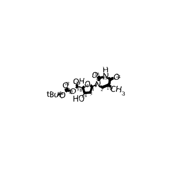 Cc1cn([C@H]2C[C@H](O)[C@@H](C(O)OC(=O)OC(C)(C)C)O2)c(=O)[nH]c1=O